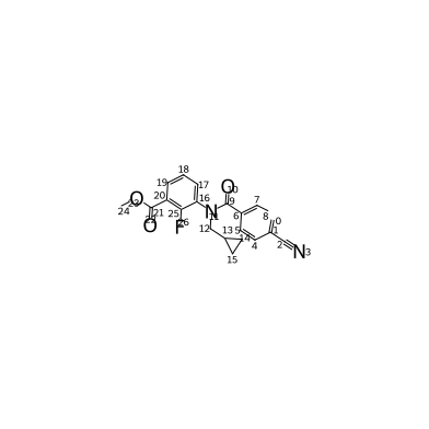 C=C(C#N)/C=C\C(=C/C)C(=O)N(CC1CC1)c1cccc(C(=O)OC)c1F